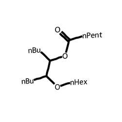 CCCCCCOC(CCCC)C(CCCC)OC(=O)CCCCC